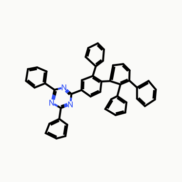 c1ccc(-c2nc(-c3ccccc3)nc(-c3ccc(-c4cccc(-c5ccccc5)c4-c4ccccc4)c(-c4ccccc4)c3)n2)cc1